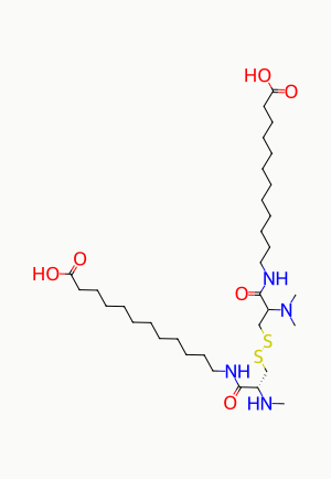 CN[C@@H](CSSCC(C(=O)NCCCCCCCCCCCC(=O)O)N(C)C)C(=O)NCCCCCCCCCCCC(=O)O